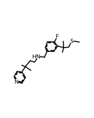 CSCC(C)(C)c1cc(CNCCC(C)(C)c2ccncc2)ccc1F